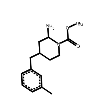 Cc1cccc(CC2CCN(C(=O)OC(C)(C)C)C(N)C2)c1